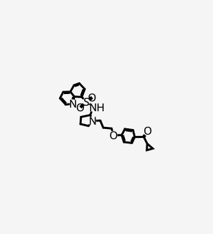 O=C(c1ccc(OCCCN2CCCC2NS(=O)(=O)c2cccc3cccnc23)cc1)C1CC1